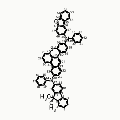 CC1(C)c2ccccc2-c2ccc(N(c3ccccc3)c3ccc4cc5c6c(cccc6c4c3)Sc3cc(N(c4ccccc4)c4ccc6oc7ccccc7c6c4)ccc3-5)cc21